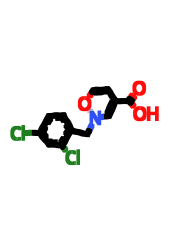 O=C(O)C1=CN(Cc2ccc(Cl)cc2Cl)OC=C1